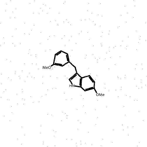 COc1cccc(Cc2c[nH]c3cc(OC)ccc23)c1